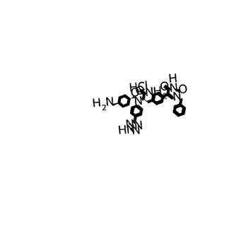 Cl.NC[C@H]1CC[C@H](C(=O)N(c2ccc(-c3nn[nH]n3)cc2)[C@@H](Cc2ccc(-c3cn(Cc4ccccc4)c(=O)[nH]c3=O)cc2)C(N)=O)CC1